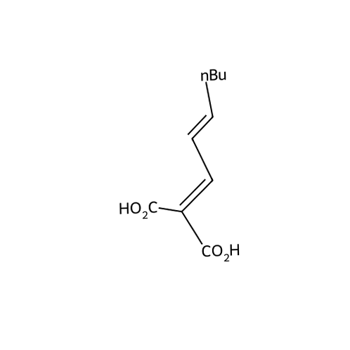 CCCCC=CC=C(C(=O)O)C(=O)O